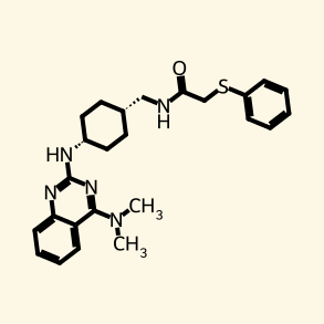 CN(C)c1nc(N[C@H]2CC[C@@H](CNC(=O)CSc3ccccc3)CC2)nc2ccccc12